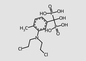 Cc1ccc(C(O)(P(=O)(O)O)P(=O)(O)O)cc1N(CCCl)CCCl